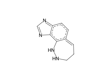 C1=Nc2c3c(ccc2=N1)=CCCNN3